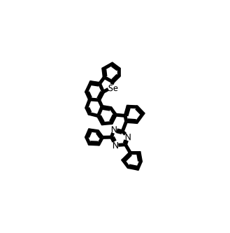 c1ccc(-c2nc(-c3ccccc3)nc(-c3ccccc3-c3ccc4ccc5ccc6c7ccccc7[se]c6c5c4c3)n2)cc1